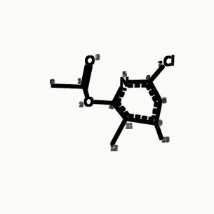 CC(=O)Oc1nc(Cl)cc(C)c1C